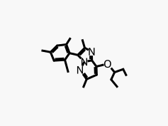 CCC(CC)Oc1cc(C)nn2c(-c3c(C)cc(C)cc3C)c(C)nc12